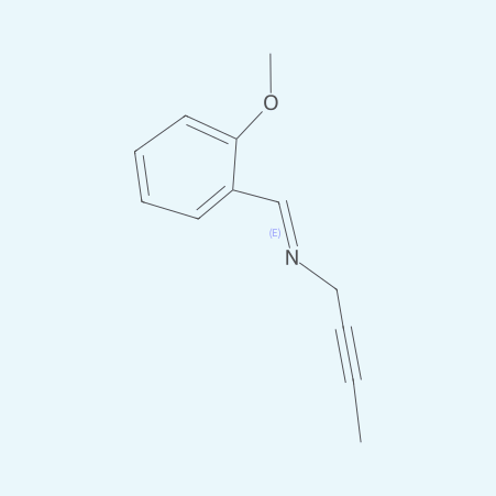 CC#CC/N=C/c1ccccc1OC